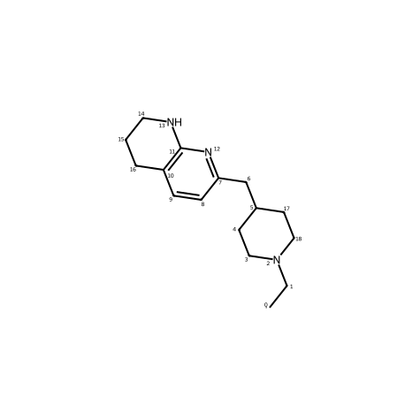 [CH2]CN1CCC(Cc2ccc3c(n2)NCCC3)CC1